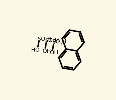 O=S(=O)(O)O.O=S(=O)(O)O.O=S(=O)(O)O.c1ccc2ccccc2c1